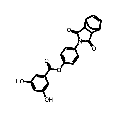 O=C(Oc1ccc(N2C(=O)C3C4C=CC(CC4)C3C2=O)cc1)c1cc(O)cc(O)c1